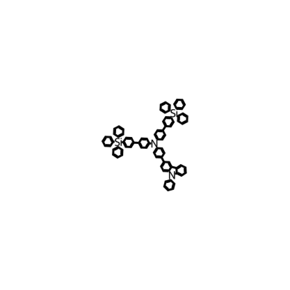 c1ccc(-n2c3ccccc3c3cc(-c4ccc(N(c5ccc(-c6ccc([Si](c7ccccc7)(c7ccccc7)c7ccccc7)cc6)cc5)c5ccc(-c6ccc([Si](c7ccccc7)(c7ccccc7)c7ccccc7)cc6)cc5)cc4)ccc32)cc1